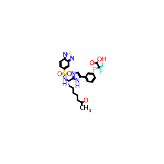 CC(=O)CCCCC[C@H](NS(=O)(=O)c1ccc2nsnc2c1)c1ncc(-c2ccccc2)[nH]1.O=C(O)C(F)(F)F